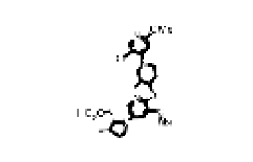 CCCCOc1cc(N2CC[C@@H](C)[C@@H]2CC(=O)O)cnc1OC1CCN(c2cc(OC)ncc2Cl)CC1C